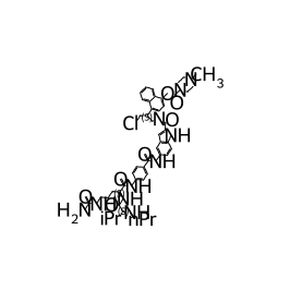 CCCN[C@H](C(=O)N[C@@H](CCCNC(N)=O)C(=O)Nc1ccc(C(=O)Nc2ccc3[nH]c(C(=O)N4C[C@@H](CCl)c5c4cc(OC(=O)N4CCN(C)CC4)c4ccccc54)cc3c2)cc1)C(C)C